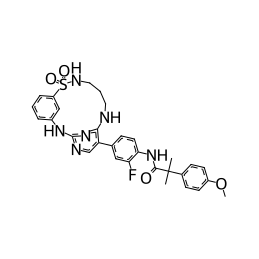 COc1ccc(C(C)(C)C(=O)Nc2ccc(-c3cnc4nc3NCCCNS(=O)(=O)c3cccc(c3)N4)cc2F)cc1